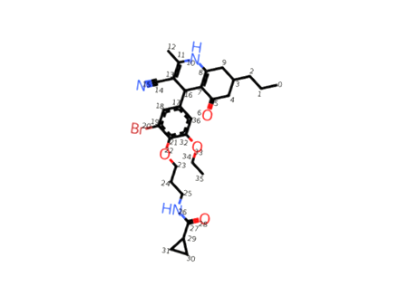 CCCC1CC(=O)C2=C(C1)NC(C)=C(C#N)C2c1cc(Br)c(OCCCNC(=O)C2CC2)c(OCC)c1